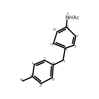 CC(=O)Nc1ccc(Cc2ccc(C)cc2)cc1